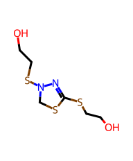 OCCSC1=NN(SCCO)CS1